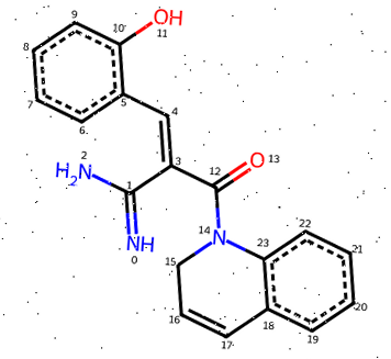 N=C(N)C(=Cc1ccccc1O)C(=O)N1CC=Cc2ccccc21